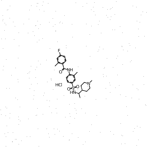 Cc1cc(S(=O)(=O)NC(C)C2CCN(C)CC2)ccc1NC(=O)c1ccc(F)cc1C.Cl